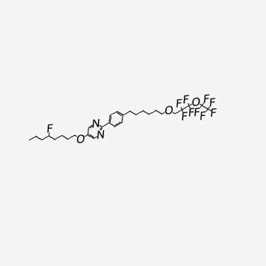 CCCC(F)CCCCOc1cnc(-c2ccc(CCCCCCOCC(F)(F)C(F)(F)OC(F)(F)C(F)(F)F)cc2)nc1